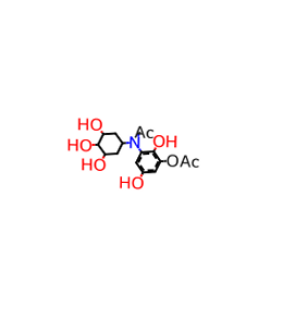 CC(=O)Oc1cc(O)cc(N(C(C)=O)C2CC(O)C(O)C(O)C2)c1O